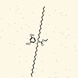 CCCCCCCCCCCCCCCCN(CCCCCCCCCCCCCCCC)C(=O)OCC.Oc1cccc(O)c1